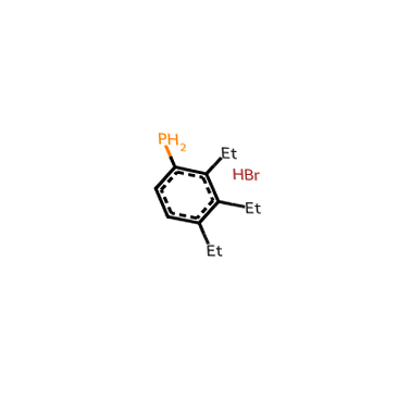 Br.CCc1ccc(P)c(CC)c1CC